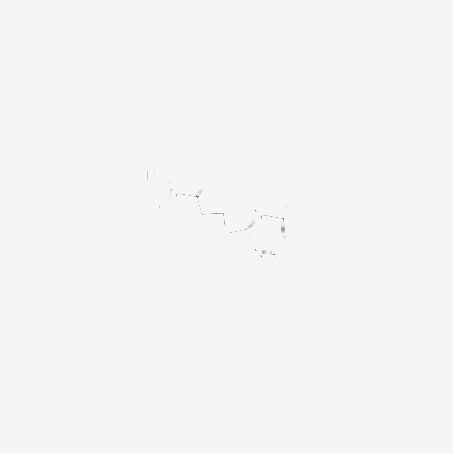 Cc1[c]c(C)nc(OCCC(=O)N(C)C)n1